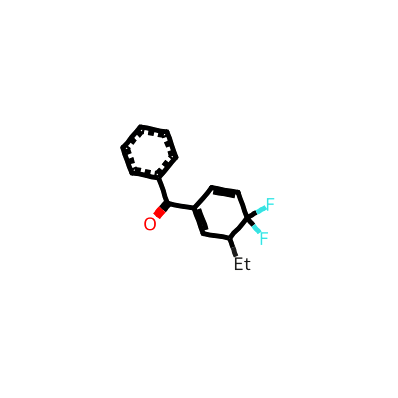 CCC1C=C(C(=O)c2ccccc2)C=CC1(F)F